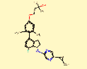 Cc1cc(OCCC(C)(C)O)cc(C)c1-c1ccc(F)c2c1CC[C@H]2Nc1cnc(C2C[C@H]2C(=O)O)cn1